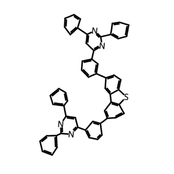 c1ccc(-c2cc(-c3cccc(-c4ccc5sc6ccc(-c7cccc(-c8cc(-c9ccccc9)nc(-c9ccccc9)n8)c7)cc6c5c4)c3)nc(-c3ccccc3)n2)cc1